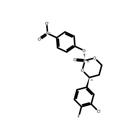 O=[N+]([O-])c1ccc(O[P@]2(=O)OCC[C@@H](c3ccc(F)c(Cl)c3)O2)cc1